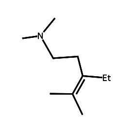 CCC(CCN(C)C)=C(C)C